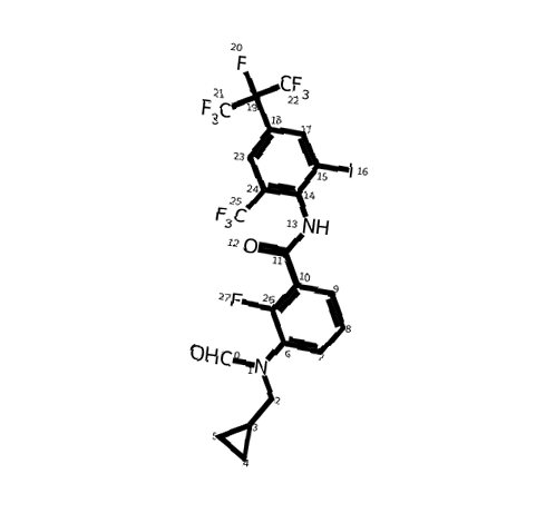 O=CN(CC1CC1)c1cccc(C(=O)Nc2c(I)cc(C(F)(C(F)(F)F)C(F)(F)F)cc2C(F)(F)F)c1F